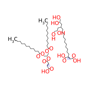 CCCCCCCCCCCC(=O)OCC(COC(=O)CCCCCCCCCCC)OC(=O)/C=C/C(=O)O.O=C(O)/C=C(\CCCCCCCCCCCC(CC(O)CO)CC(O)CO)C(=O)O